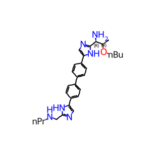 CCCCO[C@H](C)[C@H](N)c1ncc(-c2ccc(-c3ccc(-c4cnc(CNCCC)[nH]4)cc3)cc2)[nH]1